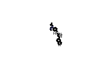 C=C(C)/C=C(\C=C/C)c1ccc(CNc2cc(-c3ccc4cnccc4c3)ncn2)cc1